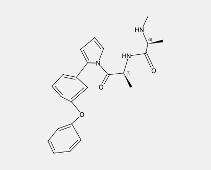 CN[C@@H](C)C(=O)N[C@@H](C)C(=O)n1cccc1-c1cccc(Oc2ccccc2)c1